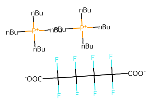 CCCC[P+](CCCC)(CCCC)CCCC.CCCC[P+](CCCC)(CCCC)CCCC.O=C([O-])C(F)(F)C(F)(F)C(F)(F)C(F)(F)C(=O)[O-]